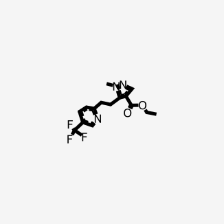 CCOC(=O)c1cnn(C)c1CCc1ccc(C(F)(F)F)cn1